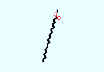 CCCCCCCCC=CC=CC=CC=CC=CC(=O)OCC